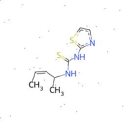 C/C=C\C(C)NC(=S)Nc1nccs1